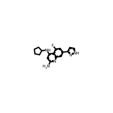 Nc1cc(NC2CCCC2)c2c(F)cc(-c3cc[nH]n3)cc2n1